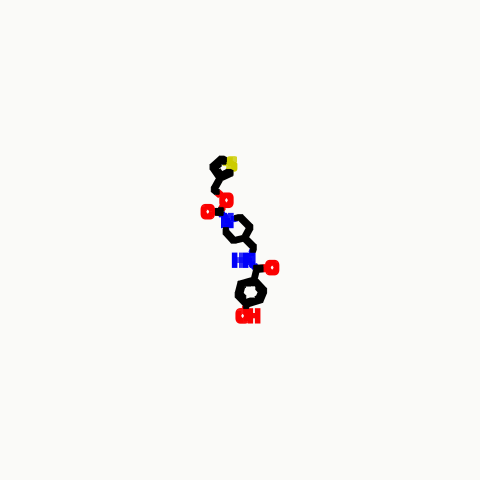 O=C(NCC1CCN(C(=O)OCc2ccsc2)CC1)c1ccc(O)cc1